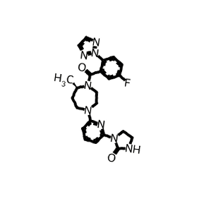 C[C@@H]1CCN(c2cccc(N3CCNC3=O)n2)CCN1C(=O)c1cc(F)ccc1-n1nccn1